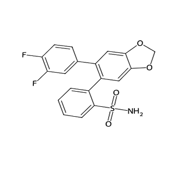 NS(=O)(=O)c1ccccc1-c1cc2c(cc1-c1ccc(F)c(F)c1)OCO2